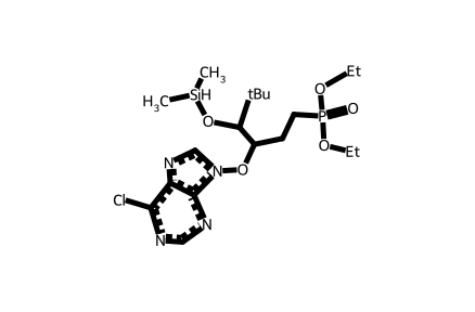 CCOP(=O)(CCC(On1cnc2c(Cl)ncnc21)C(O[SiH](C)C)C(C)(C)C)OCC